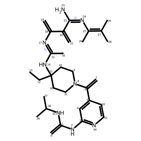 C=C(Nc1cc(C(=C)N2CCC(CC)(N/C(C)=N/C(=C)C(=C)/C(N)=N\C(C)=C(C)C)CC2)ccn1)NC(C)C